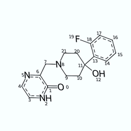 O=c1[nH]ccnc1CN1CCC(O)(c2ccccc2F)CC1